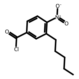 CCCCCc1cc(C(=O)Cl)ccc1[N+](=O)[O-]